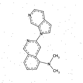 CN(C)c1cccc2cnc(-n3ccc4ccncc43)cc12